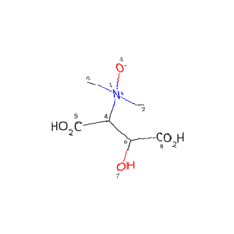 C[N+](C)([O-])C(C(=O)O)C(O)C(=O)O